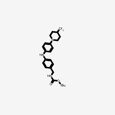 CC(C)(C)OC(=O)NCc1ccc(Nc2ccc(N3CCC(C(F)(F)F)CC3)cc2)cc1